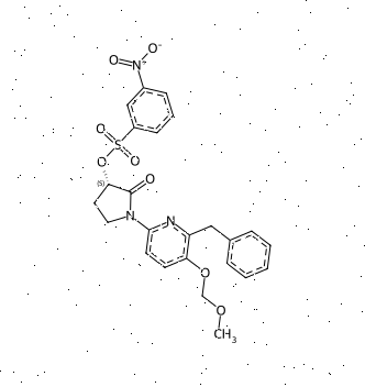 COCOc1ccc(N2CC[C@H](OS(=O)(=O)c3cccc([N+](=O)[O-])c3)C2=O)nc1Cc1ccccc1